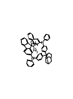 CC1(C)c2ccccc2-c2ccc(N(c3ccccc3)c3ccc(C4(c5ccc(N(c6ccccc6)c6ccc7ccccc7c6)cc5)C5CC6CC(C5)CC4C6)cc3)cc21